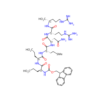 CSCC[C@H](NC(=O)[C@H](CCC(=O)O)NC(=O)[C@H](CCC(=O)O)NC(=O)OCC1c2ccccc2-c2ccccc21)C(=O)N[C@@H](CC(N)=O)C(=O)N[C@@H](CCCNC(=N)N)C(=O)N[C@@H](CCCNC(=N)N)C(=O)O